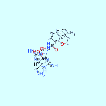 CC1(C)CCOc2c(C(=O)NC3CN4C(=N)N[C@@H](CN)[C@@H]5NC(=N)NC54C3(O)O)cccc21